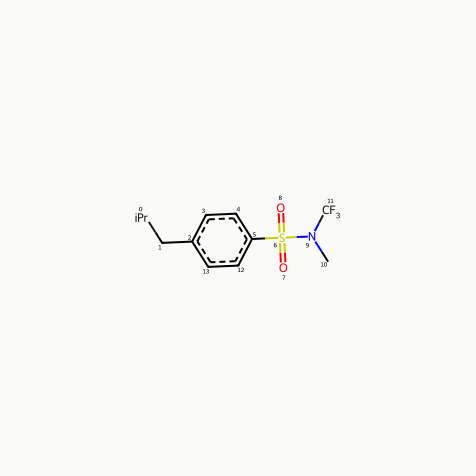 CC(C)Cc1ccc(S(=O)(=O)N(C)C(F)(F)F)cc1